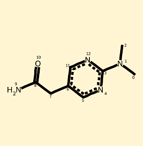 CN(C)c1ncc([CH]C(N)=O)cn1